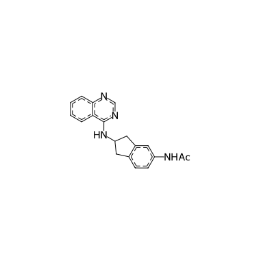 CC(=O)Nc1ccc2c(c1)CC(Nc1ncnc3ccccc13)C2